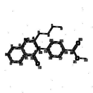 CCCCc1nc2ccccc2c(=O)n1-c1ccc(C(=O)OC)cc1